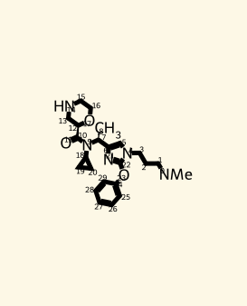 CNCCCn1cc([C@@H](C)N(C(=O)[C@H]2CNCCO2)C2CC2)nc1Oc1ccccc1